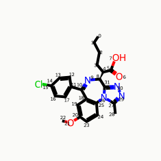 CCCCC(C(=O)O)[C@@H]1N=C(c2ccc(Cl)cc2)c2cc(OC)ccc2-n2c(C)nnc21